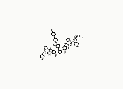 COC(=O)N[C@H](C(=O)N1CCC[C@H]1c1nc2cc([C@H]3CC[C@H](c4cc5nc([C@@H]6CCCN6C(=O)CC6CCOCC6)[nH]c5cc4F)N3c3cc(F)c(N4CCC(c5ccc(F)cc5)CC4)c(F)c3)c(F)cc2[nH]1)C1CCOCC1